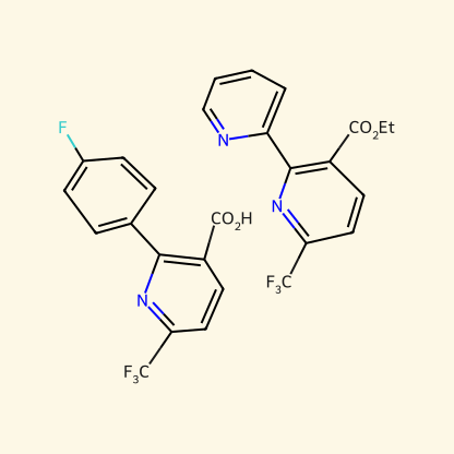 CCOC(=O)c1ccc(C(F)(F)F)nc1-c1ccccn1.O=C(O)c1ccc(C(F)(F)F)nc1-c1ccc(F)cc1